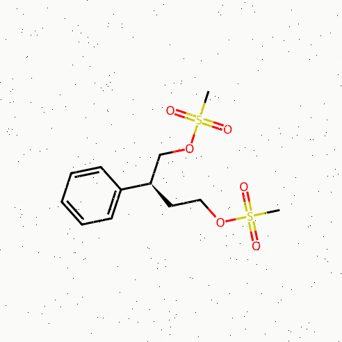 CS(=O)(=O)OCC[C@H](COS(C)(=O)=O)c1ccccc1